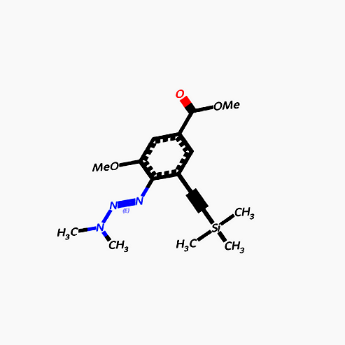 COC(=O)c1cc(C#C[Si](C)(C)C)c(/N=N/N(C)C)c(OC)c1